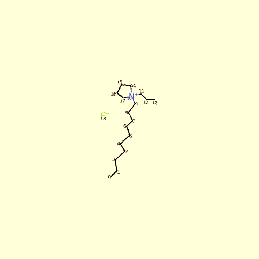 CCCCCCCCCC[N+]1(CCC)CCCC1.[F-]